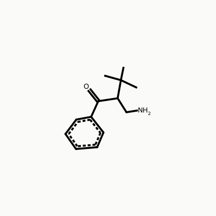 CC(C)(C)C(CN)C(=O)c1ccccc1